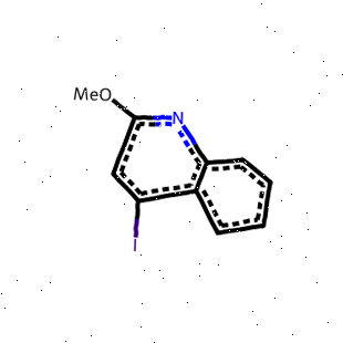 COc1cc(I)c2ccccc2n1